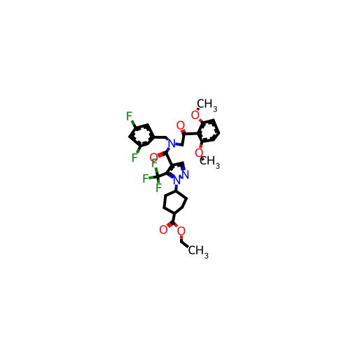 CCOC(=O)C1CCC(n2ncc(C(=O)N(CC(=O)c3c(OC)cccc3OC)Cc3cc(F)cc(F)c3)c2C(F)(F)F)CC1